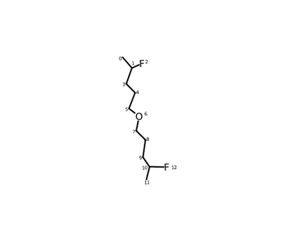 CC(F)CCCOCCCC(C)F